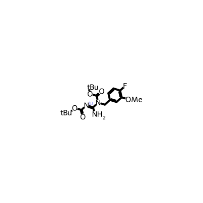 COc1cc(CN(C(=O)OC(C)(C)C)/C(N)=N/C(=O)OC(C)(C)C)ccc1F